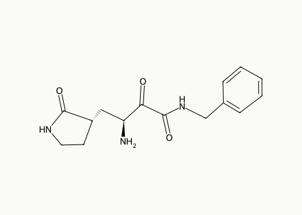 N[C@@H](C[C@@H]1CCNC1=O)C(=O)C(=O)NCc1ccccc1